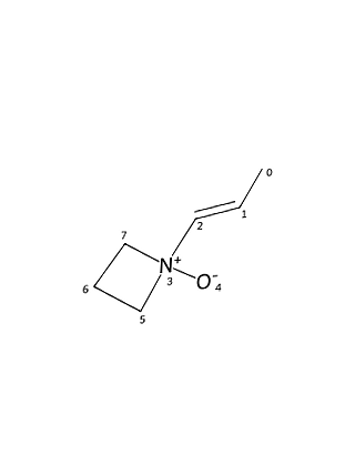 CC=C[N+]1([O-])CCC1